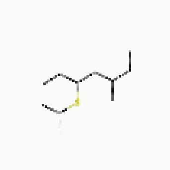 CCC(C)CC(CC)SC(C)C